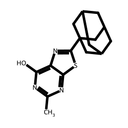 Cc1nc(O)c2nc(C34CC5CC(CC(C5)C3)C4)sc2n1